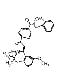 COc1ccc2c(c1)C(=CC(=O)c1ccc(C(=O)N(C)Cc3ccccc3)cc1)NC(C)(C)C2